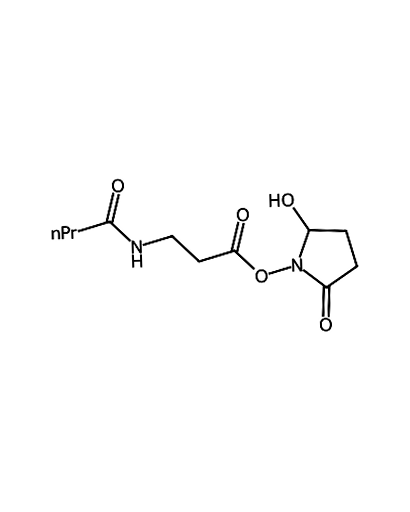 CCCC(=O)NCCC(=O)ON1C(=O)CCC1O